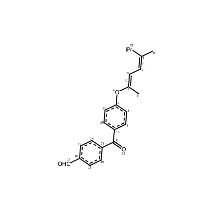 C/C(=C/C=C(\C)Oc1ccc(C(=O)c2ccc(C=O)cc2)cc1)C(C)C